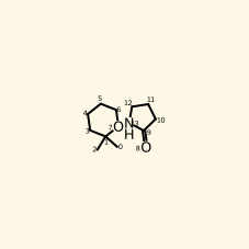 CC1(C)CCCCO1.O=C1CCCN1